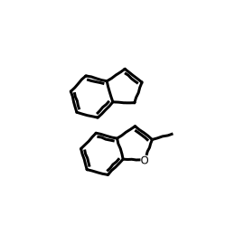 C1=Cc2ccccc2C1.Cc1cc2ccccc2o1